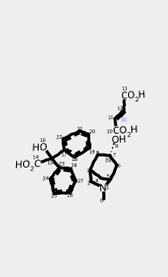 CN1CC2CC1C[C@@H](O)C2.O=C(O)/C=C/C(=O)O.O=C(O)C(O)(c1ccccc1)c1ccccc1